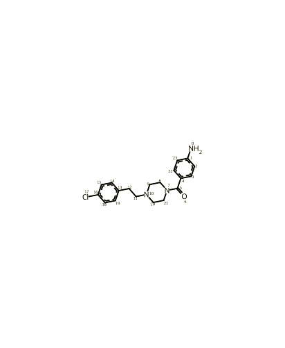 Nc1ccc(C(=O)N2CCN(CCc3ccc(Cl)cc3)CC2)cc1